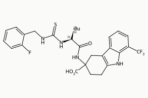 CC[C@H](C)[C@H](NC(=S)NCc1ccccc1F)C(=O)NC1(C(=O)O)CCc2[nH]c3c(C(F)(F)F)cccc3c2C1